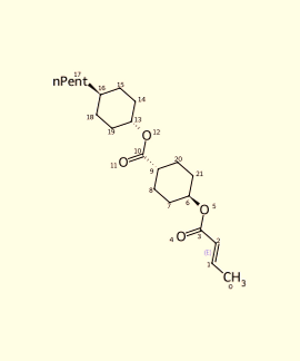 C/C=C/C(=O)O[C@H]1CC[C@H](C(=O)O[C@H]2CC[C@H](CCCCC)CC2)CC1